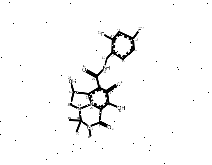 CN1C(=O)c2c(O)c(=O)c(C(=O)NCc3ccc(F)cc3F)c3n2N(CC3O)C1(C)C